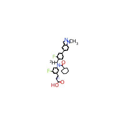 [2H]C(c1ccc(-c2ccc3c(cnn3C)c2)cc1F)N(C(=O)C1CCCCC1)c1cc(F)cc(/C=C/C(=O)O)c1